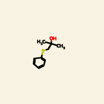 CC(C)(O)CSc1ccccc1